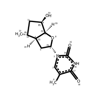 Cc1cn([C@@H]2C[C@@H]3[C@H](O2)[C@H](O)C[C@H]3C)c(=O)[nH]c1=O